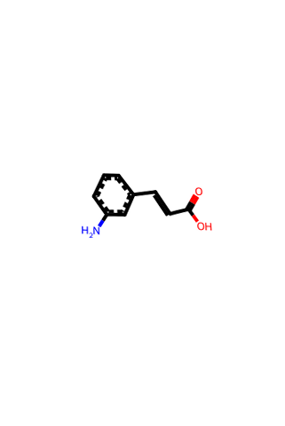 Nc1cccc(C=CC(=O)O)c1